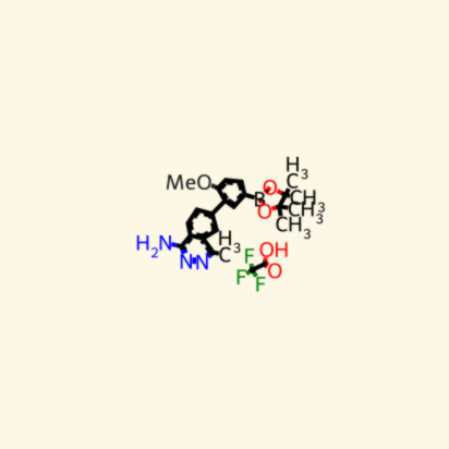 COc1ccc(B2OC(C)(C)C(C)(C)O2)cc1-c1ccc2c(N)nnc(C)c2c1.O=C(O)C(F)(F)F